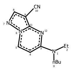 CCCCN(CC)c1ccn2ncc(C#N)c2n1